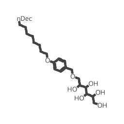 CCCCCCCCCCCCCCCCCCOc1ccc(COCC(O)C(O)C(O)C(O)CO)cc1